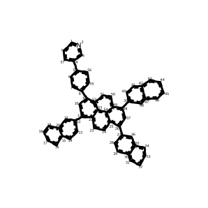 c1cncc(-c2ccc(-c3cc(-c4ccc5ccccc5c4)c4ccc5c(-c6ccc7ccccc7c6)cc(-c6ccc7ccccc7c6)c6ccc3c4c65)cc2)c1